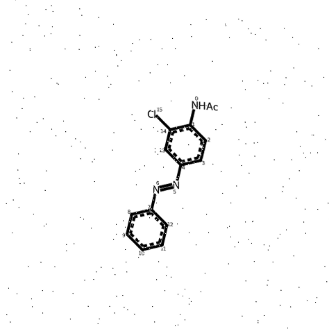 CC(=O)Nc1ccc(/N=N/c2ccccc2)cc1Cl